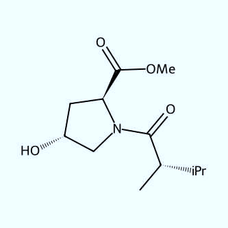 COC(=O)[C@@H]1C[C@@H](O)CN1C(=O)[C@@H](C)C(C)C